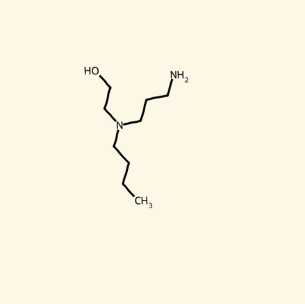 CCCCN(CCO)CCCN